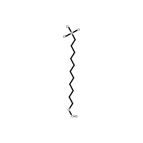 O=COCCCCCCCCCCC[Si](Cl)(Cl)Cl